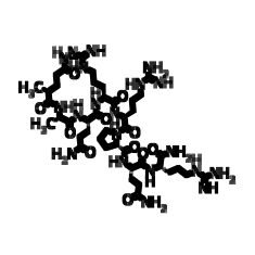 C[C@H](NC(=O)[C@@H](C)CCC(N)=O)C(=O)N[C@@H](CCC(N)=O)C(=O)N[C@@H](CCCNC(=N)N)C(=O)N[C@@H](CCCNC(=N)N)C(=O)N1CCC[C@H]1C(=O)N[C@@H](CCC(N)=O)C(=O)N[C@@H](CCCNC(=N)N)C(N)=O